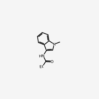 CCC(=O)Nc1cn(C)c2ccccc12